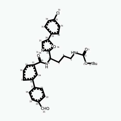 CC(C)(C)OC(=O)NCCCC(NC(=O)c1cccc(-c2ccc(C=O)cc2)c1)c1ncc(-c2ccc(Cl)cc2)o1